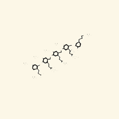 COC(=O)CCc1ccc(OC)c(OCc2cc(OC)c(OCc3cc(OC)c(OCc4cc(OC)c(OCc5cc(OC)ccc5CCC(=O)OC)cc4CCC(=O)OC)cc3CCC(=O)OC)cc2CCC(=O)OC)c1